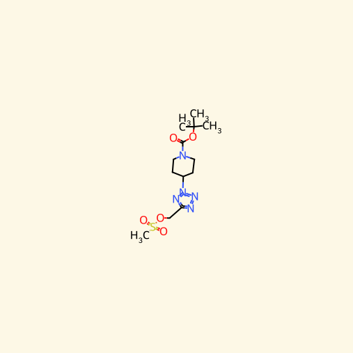 CC(C)(C)OC(=O)N1CCC(n2nnc(COS(C)(=O)=O)n2)CC1